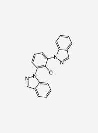 Clc1c(-n2ncc3ccccc32)cccc1-n1ncc2ccccc21